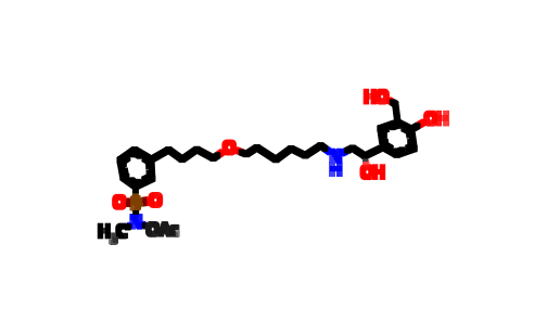 CC(=O)ON(C)S(=O)(=O)c1cccc(CCCCOCCCCCCNC[C@@H](O)c2ccc(O)c(CO)c2)c1